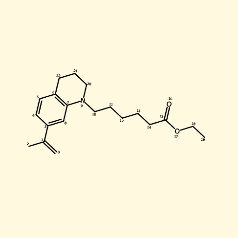 C=C(C)c1ccc2c(c1)N(CCCCCC(=O)OCC)CCC2